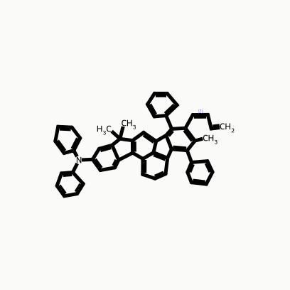 C=C/C=C\c1c(C)c(-c2ccccc2)c2c(c1-c1ccccc1)-c1cc3c(c4cccc-2c14)-c1ccc(N(c2ccccc2)c2ccccc2)cc1C3(C)C